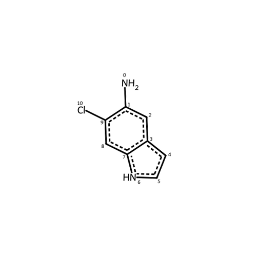 Nc1cc2cc[nH]c2cc1Cl